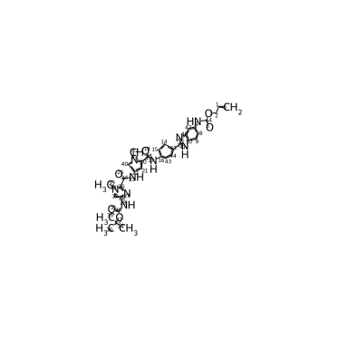 C=CCOC(=O)Nc1ccc2[nH]c(-c3ccc(NC(=O)c4cc(NC(=O)c5nc(NC(=O)OC(C)(C)C)cn5C)cn4C)cc3)nc2c1